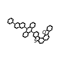 c1ccc(-c2ccc3cc(-c4c5ccccc5c(-c5ccc6c(c5)sc5ccc7ccc8c9ccccc9oc8c7c56)c5ccccc45)ccc3c2)cc1